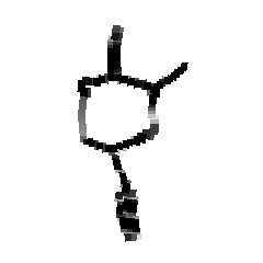 C#CC1COC(=S)N(C)C1